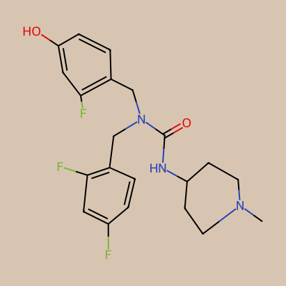 CN1CCC(NC(=O)N(Cc2ccc(O)cc2F)Cc2ccc(F)cc2F)CC1